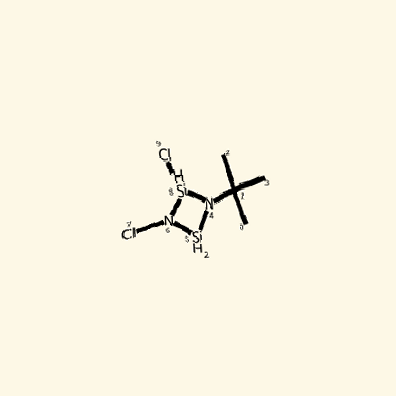 CC(C)(C)N1[SiH2]N(Cl)[SiH]1Cl